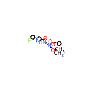 CC(C)OCCN(CCNC(=O)c1ccc(-c2cccc(F)c2)nc1)C(=O)OCc1ccccc1